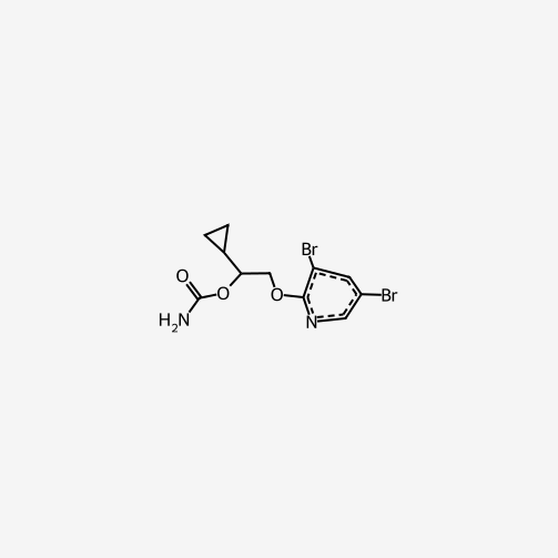 NC(=O)OC(COc1ncc(Br)cc1Br)C1CC1